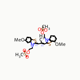 COc1ccc2c(c1)N(CCOS(C)(=O)=O)/C(=C/C(C)=C/c1sc3c(OC)cccc3[n+]1CCOS(C)(=O)=O)S2